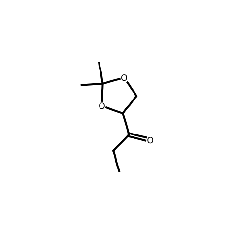 CCC(=O)C1COC(C)(C)O1